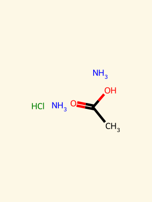 CC(=O)O.Cl.N.N